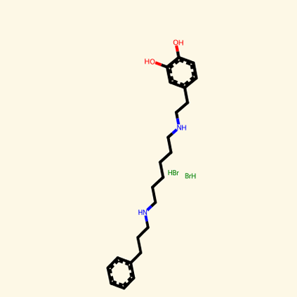 Br.Br.Oc1ccc(CCNCCCCCCNCCCc2ccccc2)cc1O